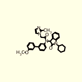 COc1cccc(-c2cccc(N(C(=O)Cn3ccnc3C)C3C(=O)N(C4CCCCC4)c4ccccc43)c2)c1